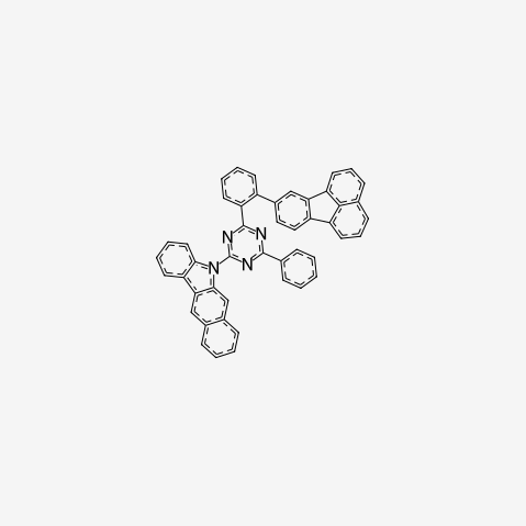 c1ccc(-c2nc(-c3ccccc3-c3ccc4c(c3)-c3cccc5cccc-4c35)nc(-n3c4ccccc4c4cc5ccccc5cc43)n2)cc1